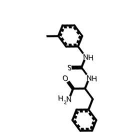 Cc1cccc(NC(=S)NC(Cc2ccccc2)C(N)=O)c1